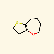 C1CCC2=C(CCS2)OC1